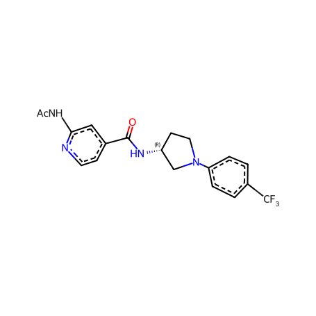 CC(=O)Nc1cc(C(=O)N[C@@H]2CCN(c3ccc(C(F)(F)F)cc3)C2)ccn1